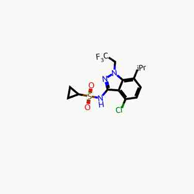 CC(C)c1ccc(Cl)c2c(NS(=O)(=O)C3CC3)nn(CC(F)(F)F)c12